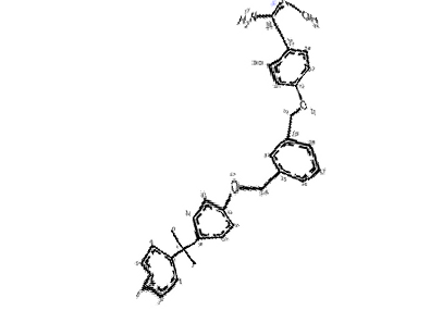 CC(C)(c1ccccc1)c1ccc(OCc2cccc(COc3ccc(/C(N)=N\O)cc3)c2)cc1